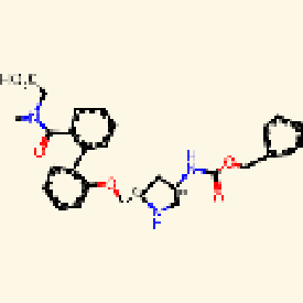 CN(CC(=O)O)C(=O)c1ccccc1-c1ccccc1OC[C@@H]1C[C@@H](NC(=O)OCc2ccccc2)CN1